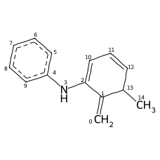 C=C1C(Nc2ccccc2)=CC=CC1C